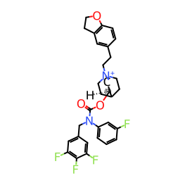 O=C(O[C@H]1C[N+]2(CCc3ccc4c(c3)CCO4)CCC1CC2)N(Cc1cc(F)c(F)c(F)c1)c1cccc(F)c1